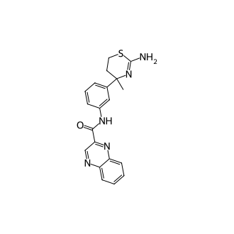 CC1(c2cccc(NC(=O)c3cnc4ccccc4n3)c2)CCSC(N)=N1